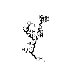 CCCCC(CC)COCC(O)CN(CCNCC(O)COCCC[Si](O)(O)O)CC(O)COCC(CC)CCCC